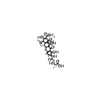 C[C@H](NCC(=O)Nc1ccc2c(c1O)C(=O)C1=C(O)C3(O)C(=O)C(C(N)=O)=C(O)C(N(C)C)C3CC1C2)C(=O)O